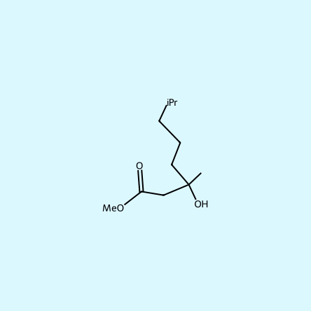 COC(=O)CC(C)(O)CCCC(C)C